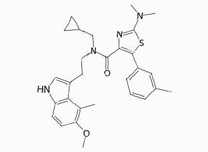 COc1ccc2[nH]cc(CCN(CC3CC3)C(=O)c3nc(N(C)C)sc3-c3cccc(C)c3)c2c1C